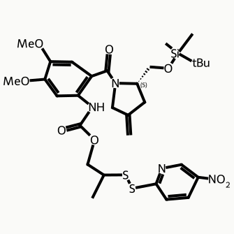 C=C1C[C@@H](CO[Si](C)(C)C(C)(C)C)N(C(=O)c2cc(OC)c(OC)cc2NC(=O)OCC(C)SSc2ccc([N+](=O)[O-])cn2)C1